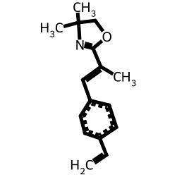 C=Cc1ccc(/C=C(\C)C2=NC(C)(C)CO2)cc1